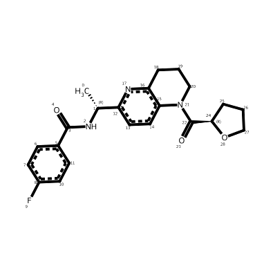 C[C@@H](NC(=O)c1ccc(F)cc1)c1ccc2c(n1)CCCN2C(=O)[C@H]1CCCO1